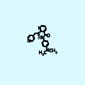 CN(C)c1ccc(NC(=O)c2cccnc2SCc2ccncc2)cc1